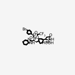 O=C1CC(c2ccc(C[C@@H](c3nc4ccccc4[nH]3)N(OC(=O)C(F)(F)F)S(=O)(=O)c3ccc(Br)cc3)cc2)S(O)(O)N1